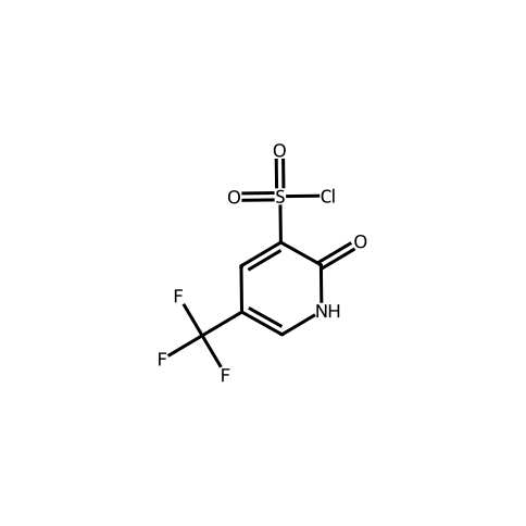 O=c1[nH]cc(C(F)(F)F)cc1S(=O)(=O)Cl